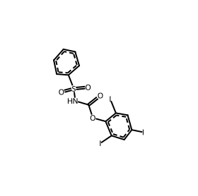 O=C(NS(=O)(=O)c1ccccc1)Oc1c(I)cc(I)cc1I